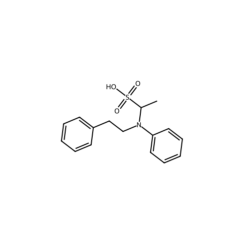 CC(N(CCc1ccccc1)c1ccccc1)S(=O)(=O)O